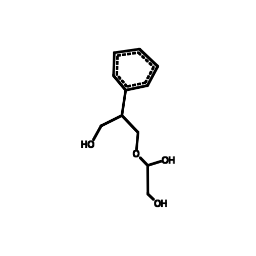 OCC(O)OCC(CO)c1ccccc1